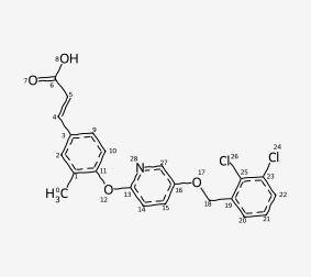 Cc1cc(C=CC(=O)O)ccc1Oc1ccc(OCc2cccc(Cl)c2Cl)cn1